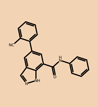 N#Cc1ccccc1-c1cc(C(=O)Nc2ccccc2)c2[nH]ncc2c1